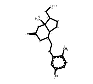 Cc1ccc(O)cc1CCC1CC(=O)CC2(C)C(CC=O)CCC12